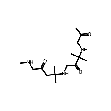 CNCC(=O)CC(C)(C)NCC(=O)C(C)(C)NCC(C)=O